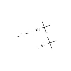 [C-]#[N+]C(C)(C)C.[C-]#[N+]C(C)(C)C.[I][Pd][I]